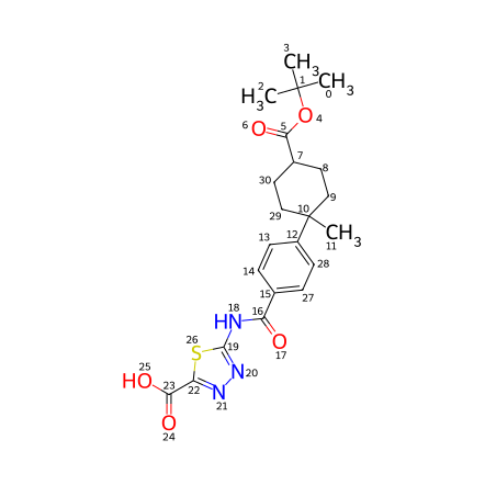 CC(C)(C)OC(=O)C1CCC(C)(c2ccc(C(=O)Nc3nnc(C(=O)O)s3)cc2)CC1